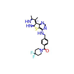 CC(=N)/C(C)=C1\C(=N)Sc2c(NCc3ccc(C(=O)N4CCC(F)(F)CC4)cc3)ncnc21